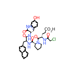 NC(=O)[C@H](Cc1ccc(O)cc1)NC(=O)C(Cc1ccc2ccccc2c1)NC(=O)[C@@H]1CCCCN1C(=O)[C@H](CCC(=O)O)NC(=O)CCl